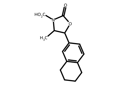 CC1C(c2ccc3c(c2)CCCC3)OC(=O)N1C(=O)O